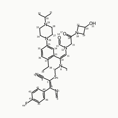 C=N/C(=C(/C#N)SCN(C)/C(=C/N(C=O)CC(=O)N1CC(O)C1)c1cc(N2CCN(C(C)C)CC2)ccc1CC)c1ccc(F)cc1